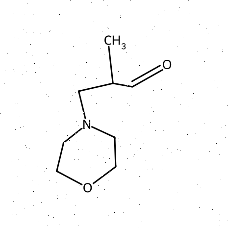 CC(C=O)CN1CCOCC1